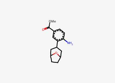 COC(=O)c1ccc(N)c(C2CC3CCC(C2)O3)c1